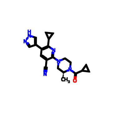 C[C@@H]1CN(c2nc(C3CC3)c(-c3cn[nH]c3)cc2C#N)CCN1C(=O)C1CC1